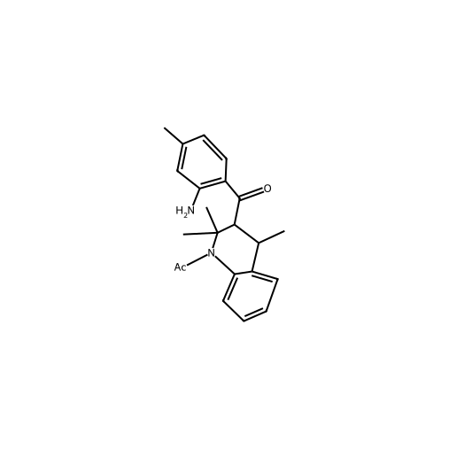 CC(=O)N1c2ccccc2C(C)C(C(=O)c2ccc(C)cc2N)C1(C)C